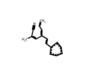 C=CC=C(C=Cc1ccccc1)C=C(C)C#N